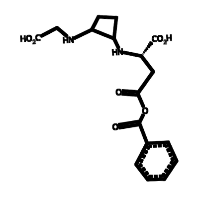 O=C(O)CNC1CCC1N[C@@H](CC(=O)OC(=O)c1ccccc1)C(=O)O